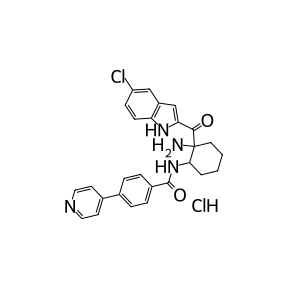 Cl.NC1(C(=O)c2cc3cc(Cl)ccc3[nH]2)CCCCC1NC(=O)c1ccc(-c2ccncc2)cc1